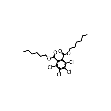 CCCCCCOC(=O)c1c(Cl)c(Cl)c(Cl)c(Cl)c1C(=O)OCCCCCC